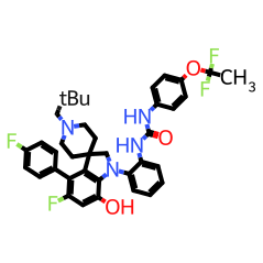 CC(C)(C)CN1CCC2(CC1)CN(c1ccccc1NC(=O)Nc1ccc(OC(C)(F)F)cc1)c1c(O)cc(F)c(-c3ccc(F)cc3)c12